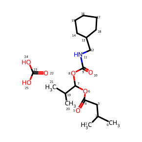 CC(C)CC(=O)OC(OC(=O)NCC1CCCCC1)C(C)C.O=C(O)O